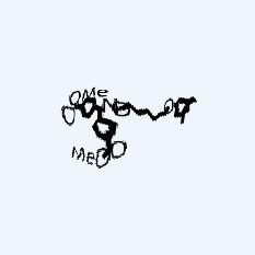 COC(=O)c1ccc(C(=NOCCCCCCOc2cc(C)cc(C)c2)c2ccc(C(=O)OC)cc2)cc1